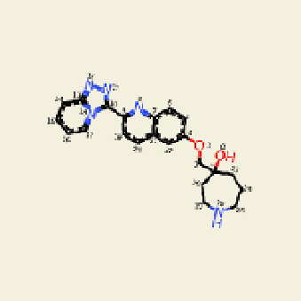 OC1(COc2ccc3nc(-c4nnc5ccccn45)ccc3c2)CCCNCC1